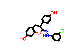 Oc1ccc(C2Cc3ccc(O)cc3OC2=NNc2cccc(Cl)c2)cc1